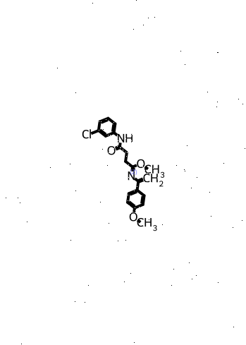 C=C(/N=C(/CCC(=O)Nc1cccc(Cl)c1)OC)c1ccc(OC)cc1